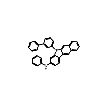 c1ccc(Nc2ccc3c4cc5ccccc5cc4n(-c4cccc(-c5ccccc5)c4)c3c2)cc1